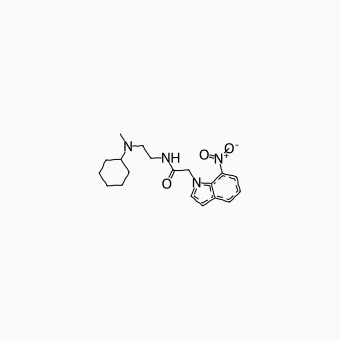 CN(CCNC(=O)Cn1ccc2cccc([N+](=O)[O-])c21)C1CCCCC1